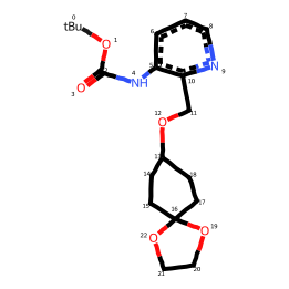 CC(C)(C)OC(=O)Nc1cccnc1COC1CCC2(CC1)OCCO2